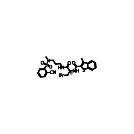 Cc1c(C(=O)N[C@@H](CC(C)C)C(=O)NCCCN(C)S(=O)(=O)c2ccccc2C#N)sc2ccccc12